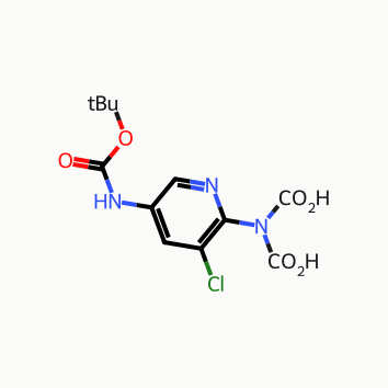 CC(C)(C)OC(=O)Nc1cnc(N(C(=O)O)C(=O)O)c(Cl)c1